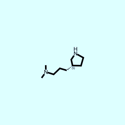 CN(C)CCC[C@H]1CCNC1